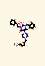 Cc1c(N2CCN(Cc3ccc(C(F)(F)F)o3)CC2)c(=O)n(C[C@H](O)c2ccccc2)c(=O)n1Cc1c(F)cccc1C(F)(F)F